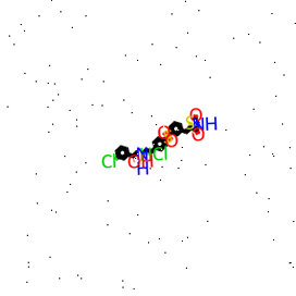 Cl.O=C1NC(=O)/C(=C/c2cccc(S(=O)(=O)c3ccc(CCNC[C@H](O)c4cccc(Cl)c4)cc3)c2)S1